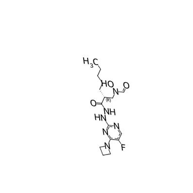 CCCCC[C@H](CN(O)C=O)C(=O)NNc1ncc(F)c(N2CCC2)n1